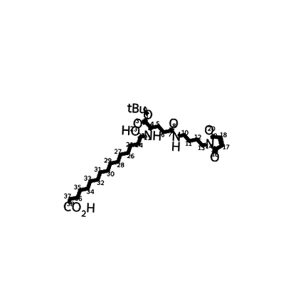 CC(C)(C)OC(=O)C(CCC(=O)NCCCCN1C(=O)C=CC1=O)NC(O)CCCCCCCCCCCCCCC(=O)O